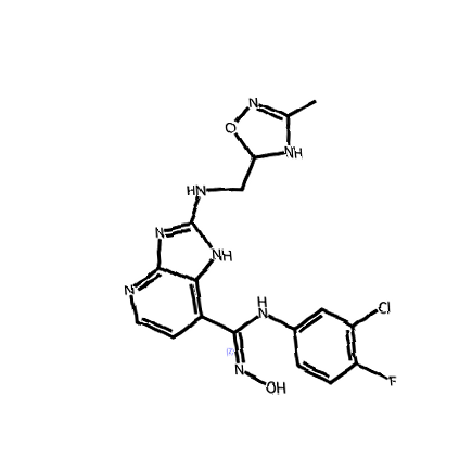 CC1=NOC(CNc2nc3nccc(/C(=N/O)Nc4ccc(F)c(Cl)c4)c3[nH]2)N1